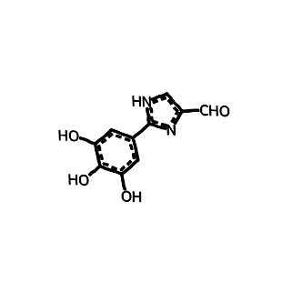 O=Cc1c[nH]c(-c2cc(O)c(O)c(O)c2)n1